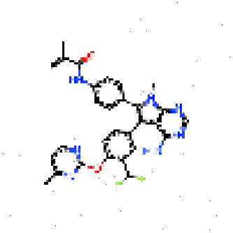 C=C(C)C(=O)Nc1ccc(-c2c(-c3ccc(Oc4nccc(C)n4)c(C(F)F)c3)c3c(N)ncnc3n2C)cc1